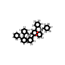 c1ccc(-c2ccccc2-c2ccccc2-n2c3ccccc3c3ccc(-c4ccccc4N(c4ccccc4)c4ccccc4)cc32)cc1